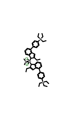 CCC1=Cc2c(-c3ccc([Si](CC)(CC)CC)cc3)cccc2[CH]1[Zr]([Cl])([Cl])([CH]1C(CC)=Cc2c(-c3ccc([Si](CC)(CC)CC)cc3)cccc21)=[Si](C)C